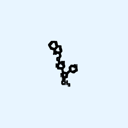 Cn1cc(-c2ccncc2)c(-c2cnc(OCc3ccc4ccccc4n3)nc2)n1